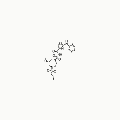 CCCS(=O)(=O)N1CCN(S(=O)(=O)NC(=O)c2coc(Nc3cc(C)ccc3C)n2)CC(OC)C1